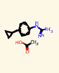 CC(=O)O.N=C(N)Nc1ccc(C2CC2)cc1